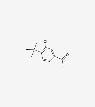 CC(=O)c1ccc(C(C)(C)C)c(Cl)c1